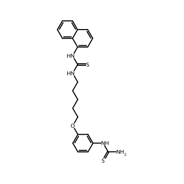 NC(=S)Nc1cccc(OCCCCCNC(=S)Nc2cccc3ccccc23)c1